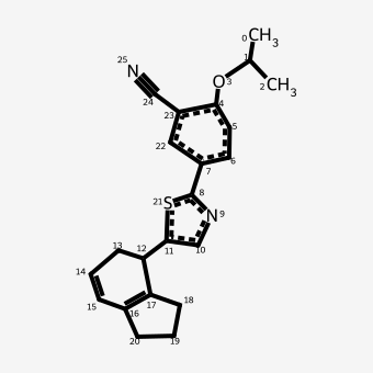 CC(C)Oc1ccc(-c2ncc(C3CC=CC4=C3CCC4)s2)cc1C#N